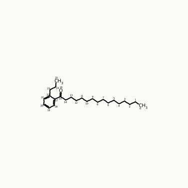 CCCCCCCCCCCCCCCC(=O)c1ccccc1CCC